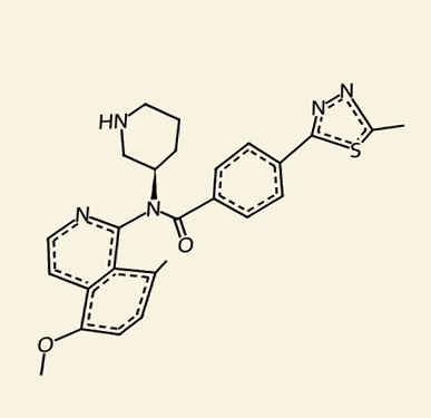 COc1ccc(C)c2c(N(C(=O)c3ccc(-c4nnc(C)s4)cc3)[C@@H]3CCCNC3)nccc12